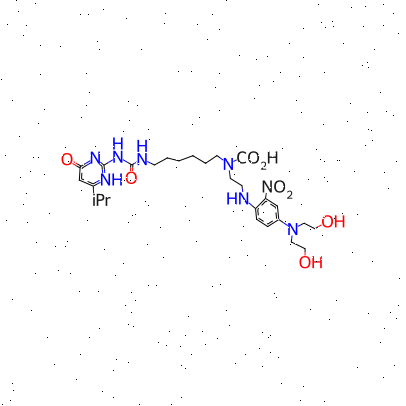 CC(C)c1cc(=O)nc(NC(=O)NCCCCCCN(CCNc2ccc(N(CCO)CCO)cc2[N+](=O)[O-])C(=O)O)[nH]1